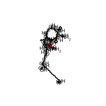 CCCC[C@H](NC(=O)[C@H](CN)NC(=O)[C@H](Cc1c[nH]cn1)NC(=O)[C@H](CCC(N)=O)NC(=O)[C@H](CO)NC(=O)CNC(=O)COCCOCCNC(=O)[C@@H](CCC(=O)O)NC(=O)CCCCCCCCCCCCCCCc1nnn[nH]1)C(=O)N[C@H]1CCC(=O)NCCCC[C@@H](C(N)=O)NC(=O)[C@H](Cc2c[nH]c3ccccc23)NC(=O)[C@H](CCCNC(=N)N)NC(=O)[C@@H](Cc2ccccc2)NC(=O)[C@@H]2C[C@@H](O)CN2C1=O